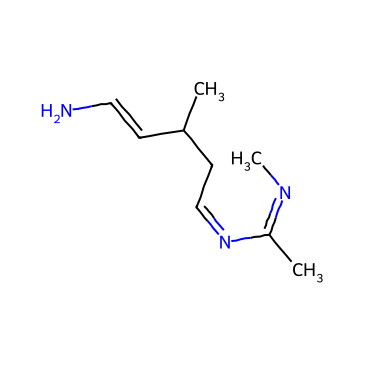 C/N=C(C)\N=C/CC(C)/C=C/N